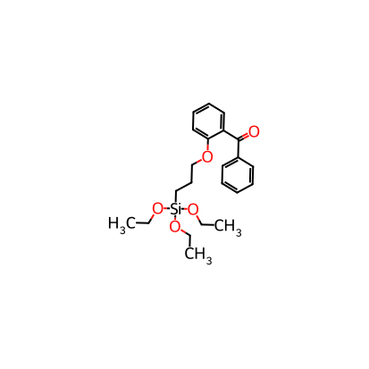 CCO[Si](CCCOc1ccccc1C(=O)c1ccccc1)(OCC)OCC